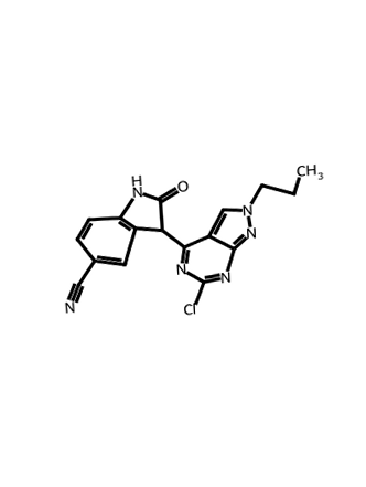 CCCn1cc2c(C3C(=O)Nc4ccc(C#N)cc43)nc(Cl)nc2n1